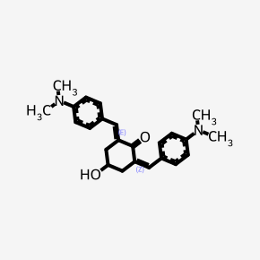 CN(C)c1ccc(/C=C2/CC(O)C/C(=C\c3ccc(N(C)C)cc3)C2=O)cc1